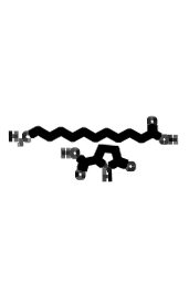 CCCCCCCCCCCC(=O)O.O=C1CCC(C(=O)O)N1